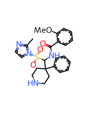 COc1ccccc1C(=O)NC(C1(c2ccccc2)CCNCC1)S(=O)(=O)n1ccnc1C